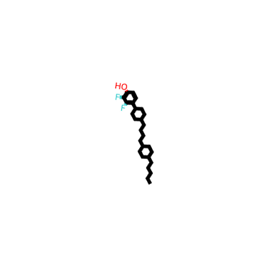 CCCCCC1CCC(CCCCC2CCC(c3ccc(O)c(F)c3F)CC2)CC1